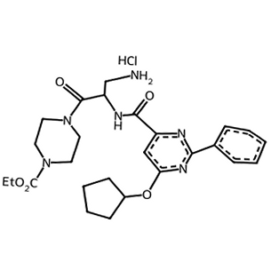 CCOC(=O)N1CCN(C(=O)C(CN)NC(=O)c2cc(OC3CCCC3)nc(-c3ccccc3)n2)CC1.Cl